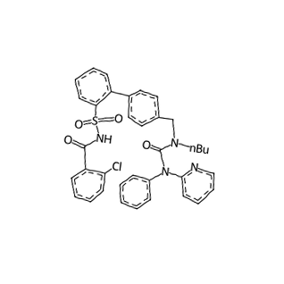 CCCCN(Cc1ccc(-c2ccccc2S(=O)(=O)NC(=O)c2ccccc2Cl)cc1)C(=O)N(c1ccccc1)c1ccccn1